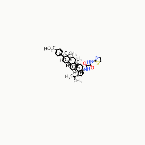 C=C(C)[C@@H]1CC[C@]2(NC(=O)C(=O)NC3=NCCS3)CC[C@]3(C)[C@H](CC[C@@H]4[C@@]5(C)CC=C(c6ccc(C(=O)O)cc6)C(C)(C)[C@@H]5CC[C@]43C)[C@@H]12